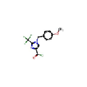 COc1ccc(Cn2cc(C(=O)Cl)nc2C(F)(F)F)cc1